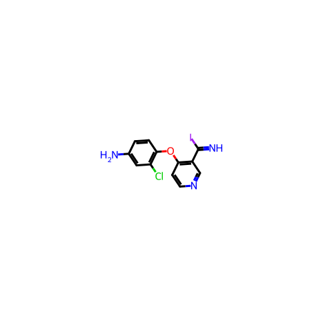 N=C(I)c1cnccc1Oc1ccc(N)cc1Cl